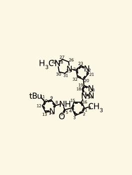 Cc1ccc(C(=O)Nc2cc(C(C)(C)C)ccn2)cc1-n1cc(-c2cncc(N3CCN(C)CC3)c2)nn1